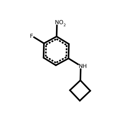 O=[N+]([O-])c1cc(NC2CCC2)ccc1F